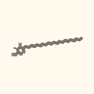 CCC=CCC=CCC=CCC=CCC=CCC=CCCC(=O)N[C@@H](C)C(=O)O